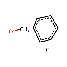 C[O-].[Li+].c1ccccc1